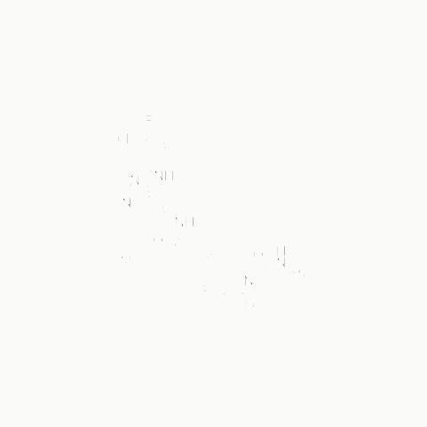 O=C1CCC(N2Cc3c(SCCC(=O)Nc4cc5c(Nc6ccc(F)c(Cl)c6)ncnc5cc4OC4CCOC4)cccc3C2=O)C(=O)N1